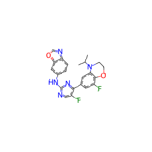 CC(C)N1CCOc2c(F)cc(-c3nc(Nc4ccc5ncoc5c4)ncc3F)cc21